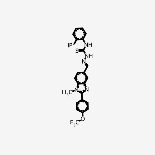 CC(C)c1ccccc1NC(=S)N/N=C/c1ccc2c(c1)nc(-c1ccc(OC(F)(F)F)cc1)n2C